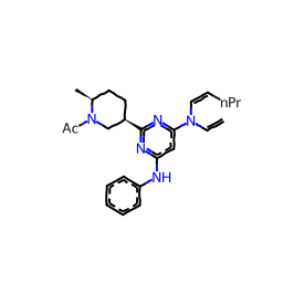 C=CN(/C=C\CCC)c1cc(Nc2ccccc2)nc([C@@H]2CC[C@H](C)N(C(C)=O)C2)n1